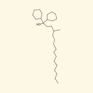 CCCCCCCCCCCCC(C)CCC(O)(C1CCCCC1)C1CCCCC1